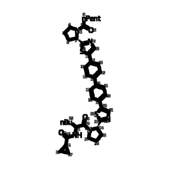 CCCCCC(=O)N1CCC[C@H]1c1ncc(-c2ccc(-c3ccc(-c4cnc([C@@H]5CCCN5C(=O)C(CCCC)NC(=O)C5CC5)s4)cc3)cc2)s1